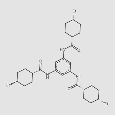 CC[C@H]1CC[C@H](C(=O)Nc2cc(NC(=O)[C@H]3CC[C@@H](CC)CC3)cc(NC(=O)[C@H]3CC[C@@H](CC)CC3)c2)CC1